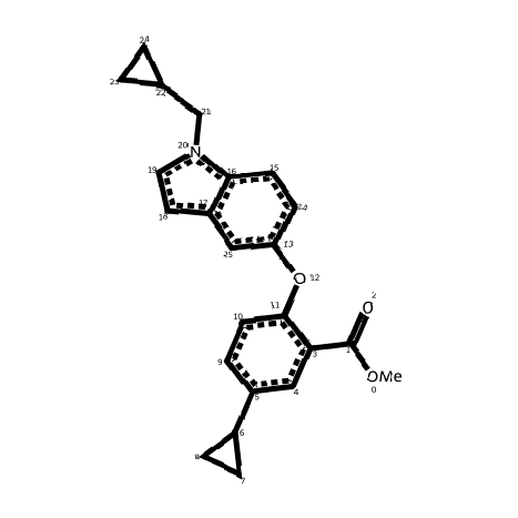 COC(=O)c1cc(C2CC2)ccc1Oc1ccc2c(ccn2CC2CC2)c1